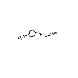 COCCSCc1ccc([N+](=O)[O-])cc1